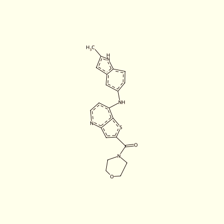 Cc1cc2cc(Nc3ccnc4cc(C(=O)N5CCOCC5)sc34)ccc2[nH]1